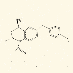 CC(=O)N1c2ccc(Cc3ccc(C)cc3)cc2[C@H](N)C[C@H]1C